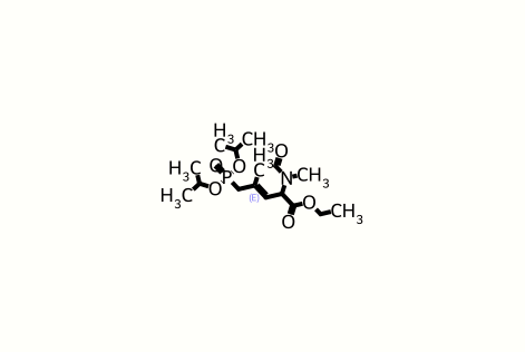 CCOC(=O)C(/C=C(\C)CP(=O)(OC(C)C)OC(C)C)N(C)C=O